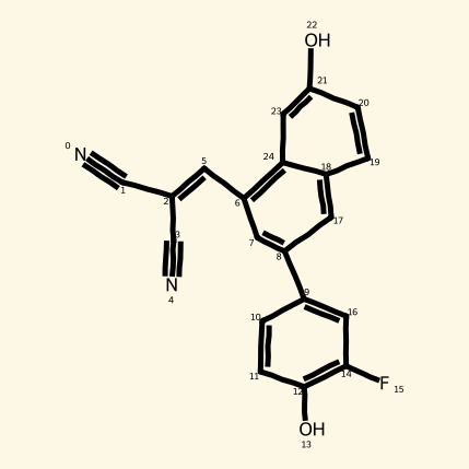 N#CC(C#N)=Cc1cc(-c2ccc(O)c(F)c2)cc2ccc(O)cc12